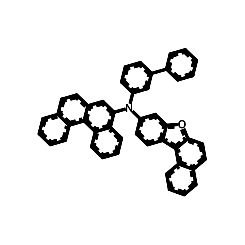 c1ccc(-c2cccc(N(c3ccc4c(c3)oc3ccc5ccccc5c34)c3cc4ccc5ccccc5c4c4ccccc34)c2)cc1